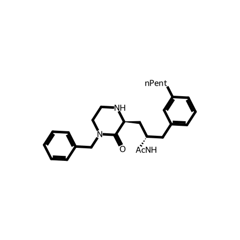 CCCCCc1cccc(C[C@@H](C[C@@H]2NCCN(Cc3ccccc3)C2=O)NC(C)=O)c1